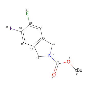 CC(C)(C)OC(=O)N1Cc2cc(F)c(I)cc2C1